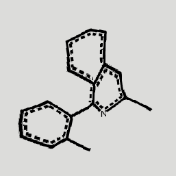 Cc1cc2ccccc2c(-c2ccccc2C)n1